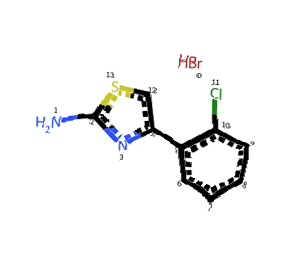 Br.Nc1nc(-c2ccccc2Cl)cs1